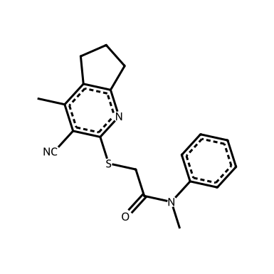 Cc1c(C#N)c(SCC(=O)N(C)c2ccccc2)nc2c1CCC2